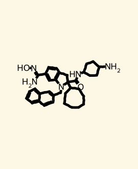 N/C(=N\O)c1ccc2c(c1)N(Cc1ccc3ccccc3c1)C(C(=O)NC1CCC(N)CC1)(C1CCCCCCC1)C2